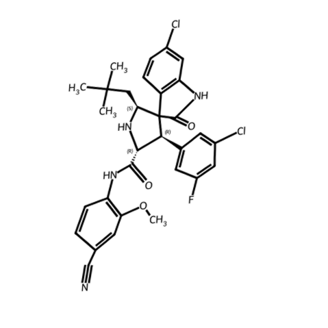 COc1cc(C#N)ccc1NC(=O)[C@@H]1N[C@@H](CC(C)(C)C)C2(C(=O)Nc3cc(Cl)ccc32)[C@H]1c1cc(F)cc(Cl)c1